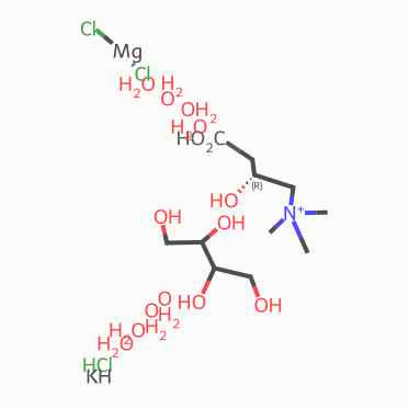 C[N+](C)(C)C[C@H](O)CC(=O)O.Cl.O.O.O.O.O.O.O.O.OCC(O)C(O)CO.[Cl][Mg][Cl].[KH]